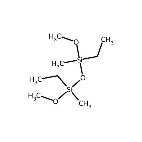 CC[Si](C)(OC)O[Si](C)(CC)OC